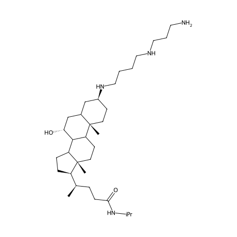 CC(C)NC(=O)CC[C@@H](C)[C@H]1CCC2C3C(CC[C@@]21C)[C@@]1(C)CC[C@H](NCCCCNCCCN)CC1C[C@H]3O